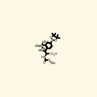 CCC[CH2][Sn]([CH2]CCC)([CH2]CCC)[c]1cc(B2OC(C)(C)C(C)(C)O2)ccc1C(C(NC(=O)OC(C)(C)C)C(=O)O)C(C)(C)C